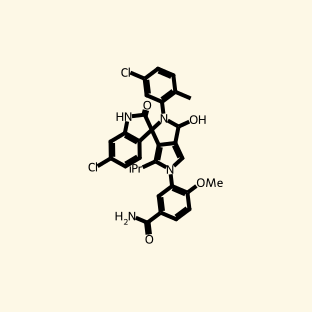 COc1ccc(C(N)=O)cc1-n1cc2c(c1C(C)C)C1(C(=O)Nc3cc(Cl)ccc31)N(c1cc(Cl)ccc1C)C2O